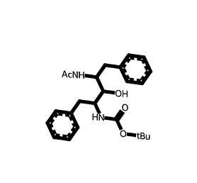 CC(=O)NC(Cc1ccccc1)C(O)C(Cc1ccccc1)NC(=O)OC(C)(C)C